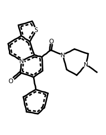 CN1CCN(C(=O)c2cc(-c3ccccc3)c(=O)n3ccc4ccsc4c23)CC1